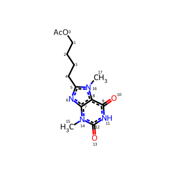 CC(=O)OCCCCc1nc2c(c(=O)[nH]c(=O)n2C)n1C